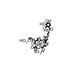 C[n+]1cc(-c2ncc(C(=O)NC[C@@H]3[C@H](NC(=O)/C(=N\OC(C)(C)C(=O)O)c4csc(N)n4)C(=O)N3S(=O)(=O)O)s2)cn1CCCNC(=O)c1ccc(O)c(O)c1Cl